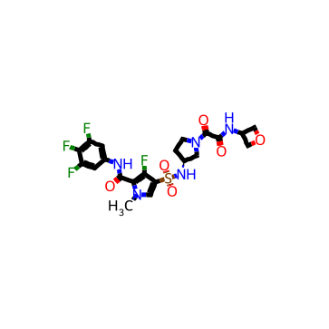 Cn1cc(S(=O)(=O)N[C@@H]2CCN(C(=O)C(=O)NC3COC3)C2)c(F)c1C(=O)Nc1cc(F)c(F)c(F)c1